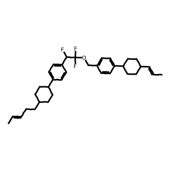 CC=CCCC1CCC(c2ccc(C(F)C(F)(F)OCc3ccc(C4CCC(C=CC)CC4)cc3)cc2)CC1